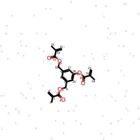 C=C(C)C(=O)OCc1cc(COC(=O)C(=C)C)cc(OC(=O)C(=C)C)c1